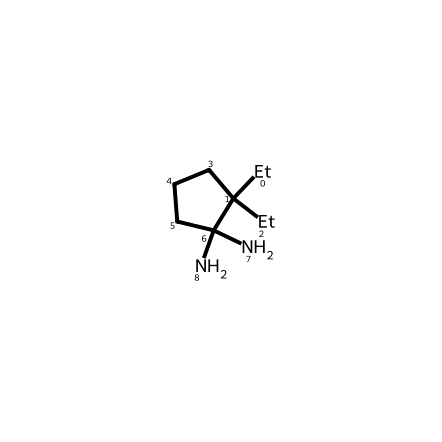 CCC1(CC)CCCC1(N)N